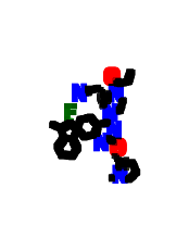 C=CC(=O)N1CCN(c2nc(OC[C@@H]3CCCN3C)nc3c2CCC2(C3)C(F)=C(C)c3ccccc32)C[C@@H]1CC#N